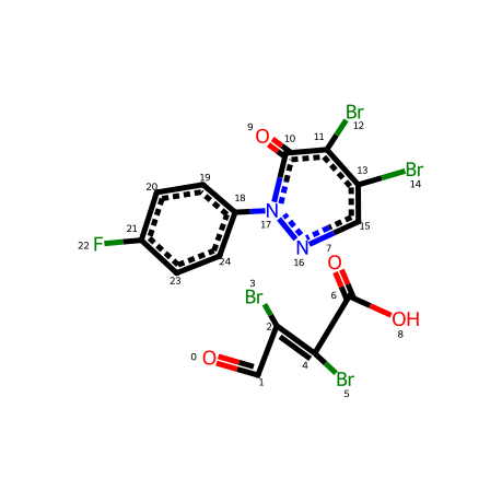 O=CC(Br)=C(Br)C(=O)O.O=c1c(Br)c(Br)cnn1-c1ccc(F)cc1